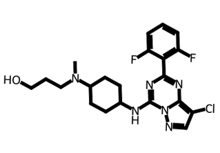 CN(CCCO)C1CCC(Nc2nc(-c3c(F)cccc3F)nc3c(Cl)cnn23)CC1